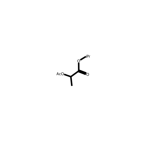 [CH2]C(=O)OC(C)C(=O)OC(C)C